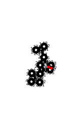 c1ccc(-n2c3ccc(-n4c5ccccc5c5ccccc54)cc3c3ccc4c5cc([Si](c6ccccc6)(c6ccccc6)c6ccccc6)ccc5n(-c5ccccc5)c4c32)cc1